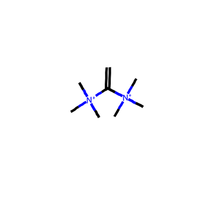 C=C([N+](C)(C)C)[N+](C)(C)C